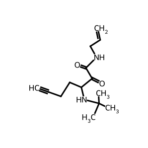 C#CCCC(NC(C)(C)C)C(=O)C(=O)NCC=C